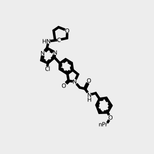 CCCOc1ccc(CNC(=O)CN2Cc3ccc(-c4nc(NC5CCOCC5)ncc4Cl)cc3C2=O)cc1